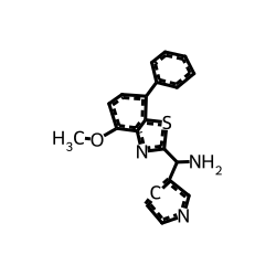 COc1ccc(-c2ccccc2)c2sc(C(N)c3cccnc3)nc12